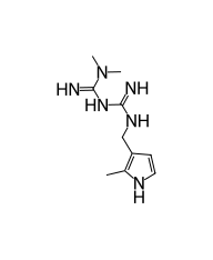 Cc1[nH]ccc1CNC(=N)NC(=N)N(C)C